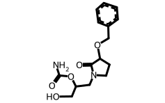 NC(=O)OC(CO)CN1CCC(OCc2ccccc2)C1=O